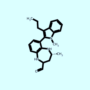 CCCc1c(-c2cccc3c2N[C@H](C)CC(C=O)N3)n(C)c2ccccc12